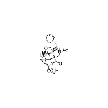 CC(=O)N(CC1(C(C)O)C(=O)N2C(C(=O)O)=C3SC3(C)C21C1CCOC1)OCc1ccccc1